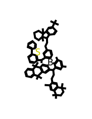 Cc1cc(C)c2c(c1)C(CCc1cc3c(cc1C)C(C)(C)CCC3(C)C)c1cc3c(cc1B2c1ccc(CCC2c4ccc(C(C)(C)C)cc4C4(C)CCCCC24C)cc1C(C)c1cccc2c1sc1ccccc12)C(C)(C)c1ccccc1C3(C)C